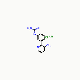 Cl.Cl.N=C(N)Nc1cccc(-c2ncccc2N)c1